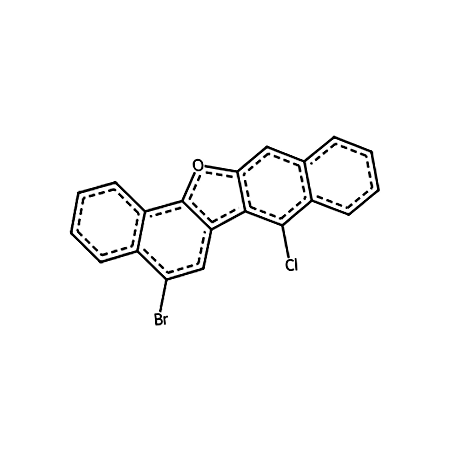 Clc1c2ccccc2cc2oc3c4ccccc4c(Br)cc3c12